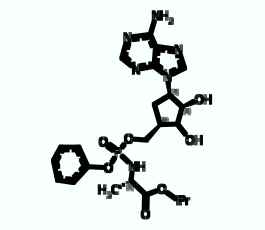 CC(C)OC(=O)[C@H](C)NP(=O)(OC[C@H]1C[C@@H](n2cnc3c(N)ncnc32)[C@@H](O)C1O)Oc1ccccc1